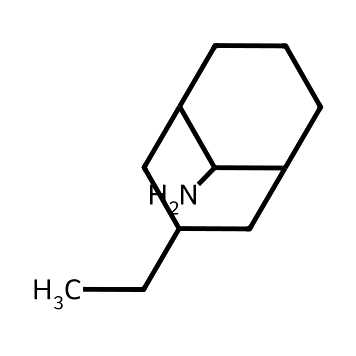 CCC1CC2CCCC(C1)C2N